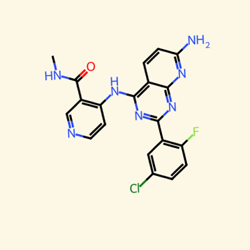 CNC(=O)c1cnccc1Nc1nc(-c2cc(Cl)ccc2F)nc2nc(N)ccc12